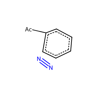 CC(=O)c1ccccc1.N#N